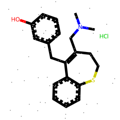 CN(C)CC1=C(Cc2cccc(O)c2)c2ccccc2SCC1.Cl